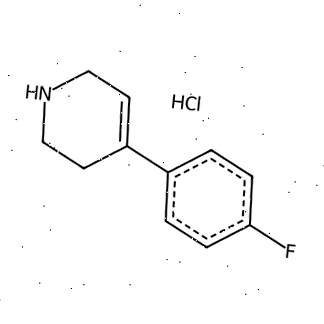 Cl.Fc1ccc(C2=CCNCC2)cc1